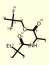 CCC(C)(C)C(=O)NC(C)C(=O)OCC(C)(F)F